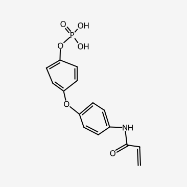 C=CC(=O)Nc1ccc(Oc2ccc(OP(=O)(O)O)cc2)cc1